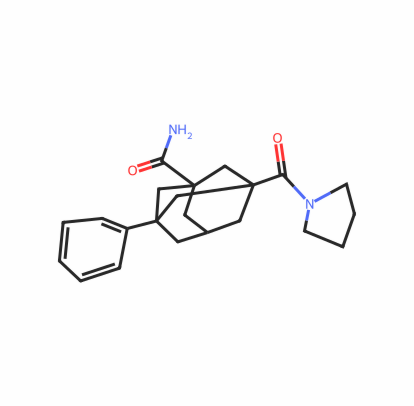 NC(=O)C12CC3CC(C(=O)N4CCCC4)(C1)CC(c1ccccc1)(C3)C2